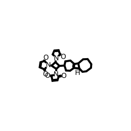 O=C1C=CCN1C1C(C2CCC3=C(CC2)[C@H]2CCCCCCC32)C(N2C(=O)C=CC2=O)C1N1C(=O)C=CC1=O